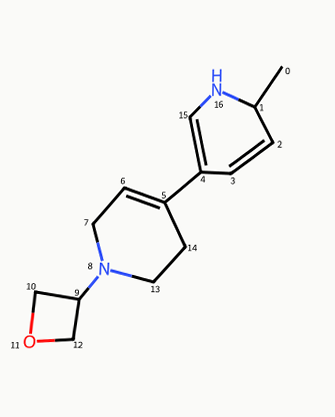 CC1C=CC(C2=CCN(C3COC3)CC2)=CN1